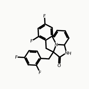 O=C1NC2C=CC=CN2C1(Cc1ccc(F)cc1F)Cc1ccc(F)cc1F